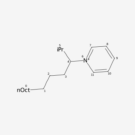 CCCCCCCCCCCC(C(C)C)[n+]1ccccc1